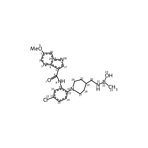 COc1cnc2c(C(=O)Nc3cc(Cl)ccc3N3CCC(CNB(C)O)CC3)cnn2c1